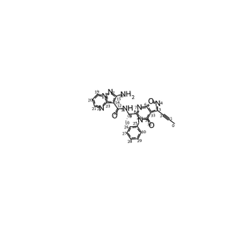 CC#Cc1noc2nc([C@H](C)NC(=O)c3c(N)nn4cccnc34)n(-c3ccccc3)c(=O)c12